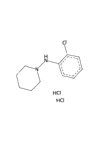 Cl.Cl.Clc1ccccc1NN1CCCCC1